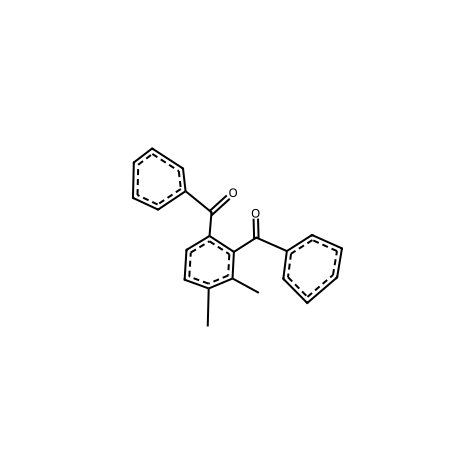 Cc1ccc(C(=O)c2ccccc2)c(C(=O)c2ccccc2)c1C